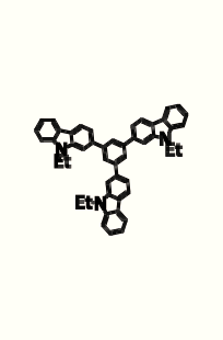 CCn1c2ccccc2c2ccc(-c3cc(-c4ccc5c6ccccc6n(CC)c5c4)cc(-c4ccc5c6ccccc6n(CC)c5c4)c3)cc21